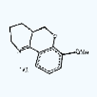 COc1cccc2c1OCC1CCCN=C21.Cl